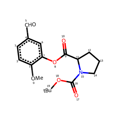 COc1ccc(C=O)cc1OC(=O)C1CCCN1C(=O)OC(C)(C)C